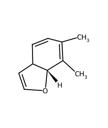 CC1=C(C)[C@@H]2OC=CC2C=C1